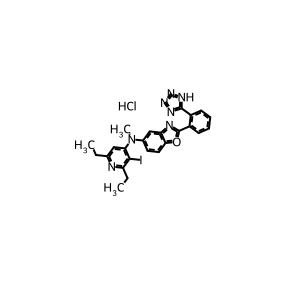 CCc1cc(N(C)c2ccc3oc(-c4ccccc4-c4nnn[nH]4)nc3c2)c(I)c(CC)n1.Cl